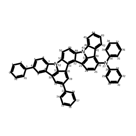 c1ccc(-c2ccc3c(c2)c2cc(-c4ccccc4)cc4c5c6c7ccc(N(c8ccccc8)c8ccccc8)c8c9ccccc9n(c6ccc5n3c24)c78)cc1